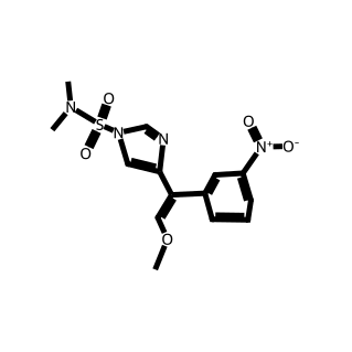 CO/C=C(\c1cccc([N+](=O)[O-])c1)c1cn(S(=O)(=O)N(C)C)cn1